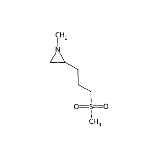 CN1CC1CCCS(C)(=O)=O